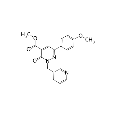 COC(=O)c1cc(-c2ccc(OC)cc2)nn(Cc2cccnc2)c1=O